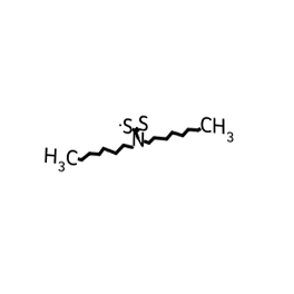 CCCCCCCCN(CCCCCCCC)C([S])=S